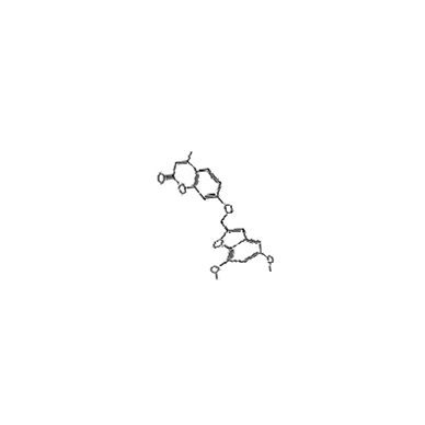 COc1cc(OC)c2oc(COc3ccc4c(C)cc(=O)oc4c3)cc2c1